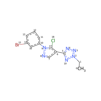 CCn1nnc(-c2cnn(-c3cccc(Br)c3)c2Cl)n1